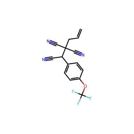 C=CCC(C#N)(C#N)C(C#N)c1ccc(OC(F)(F)F)cc1